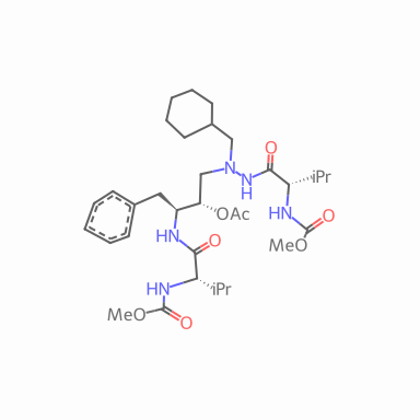 COC(=O)N[C@H](C(=O)N[C@@H](Cc1ccccc1)[C@H](CN(CC1CCCCC1)NC(=O)[C@@H](NC(=O)OC)C(C)C)OC(C)=O)C(C)C